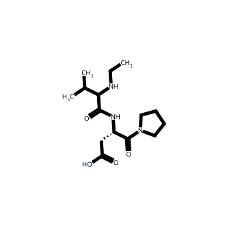 CCNC(C(=O)N[C@@H](CC(=O)O)C(=O)N1CCCC1)C(C)C